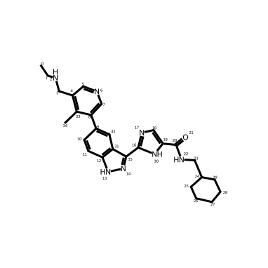 CCNCc1cncc(-c2ccc3[nH]nc(-c4ncc(C(=O)NCC5CCCCC5)[nH]4)c3c2)c1C